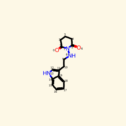 O=C1CCCC(=O)N1NCCc1c[nH]c2ccccc12